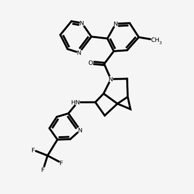 Cc1cnc(-c2ncccn2)c(C(=O)N2CC3CC34CC(Nc3ccc(C(F)(F)F)cn3)C24)c1